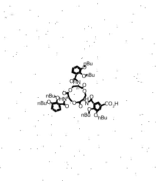 CCCCOc1cccc(C(=O)N[C@H]2COC(=O)[C@@H](NC(=O)c3cccc(OCCCC)c3OCCCC)COC(=O)[C@@H](NC(=O)c3cc(C(=O)O)cc(OCCCC)c3OCCCC)COC2=O)c1OCCCC